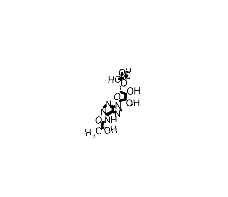 CC(O)C(=O)Nc1ncnc2c1ncn2[C@@H]1O[C@H](COP(=O)(O)O)[C@@H](O)[C@H]1O